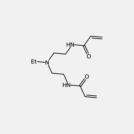 C=CC(=O)NCCN(CC)CCNC(=O)C=C